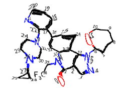 O=c1c2cnn(C3CCCCO3)c2c2ccc(-c3cccnc3N3CCN(C4CC4)CC3)cc2n1CC(F)(F)F